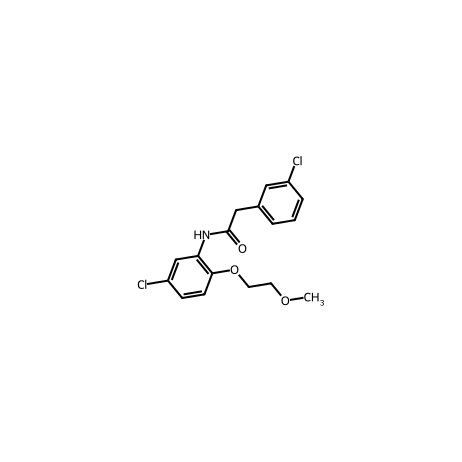 COCCOc1ccc(Cl)cc1NC(=O)Cc1cccc(Cl)c1